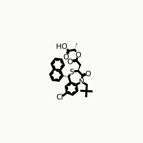 C[C@H](OC(=O)C[C@@H]1S[C@@H](c2cccc3ccccc23)c2cc(Cl)ccc2N(CC(C)(C)C)C1=O)C(=O)O